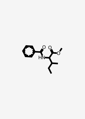 CCC(C)C(NC(=O)c1ccccc1)C(=O)OC